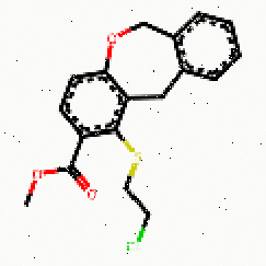 COC(=O)c1ccc2c(c1SCCCl)Cc1ccccc1CO2